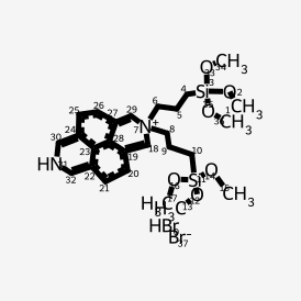 Br.CO[Si](CCC[N+]1(CCC[Si](OC)(OC)OC)C=c2ccc3c4c(ccc(c24)=C1)=CNC=3)(OC)OC.[Br-]